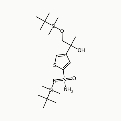 CC(O)(CO[Si](C)(C)C(C)(C)C)c1csc(S(N)(=O)=N[Si](C)(C)C(C)(C)C)c1